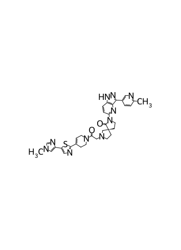 Cc1ccc(-c2n[nH]c3ccc(N4CC[C@]5(CCN(CC(=O)N6CC=C(c7ncc(-c8cn(C)cn8)s7)CC6)C5)C4=O)nc23)cn1